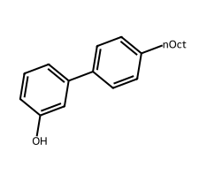 CCCCCCCCc1ccc(-c2cccc(O)c2)cc1